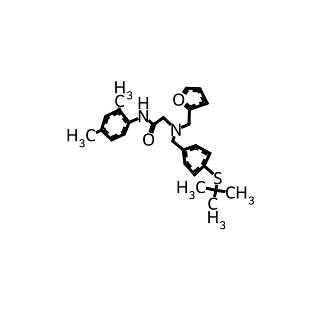 Cc1ccc(NC(=O)CN(Cc2ccc(SC(C)(C)C)cc2)Cc2ccco2)c(C)c1